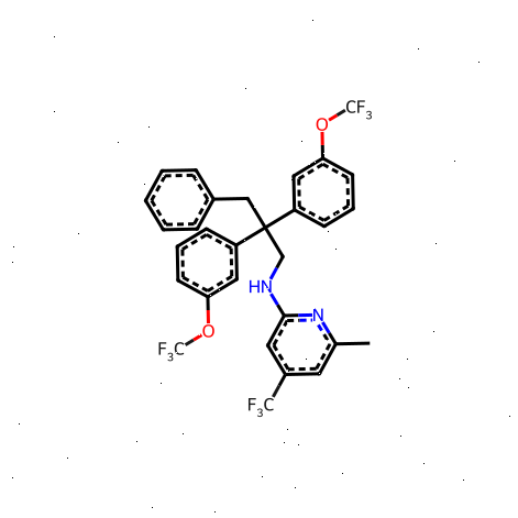 Cc1cc(C(F)(F)F)cc(NCC(Cc2ccccc2)(c2cccc(OC(F)(F)F)c2)c2cccc(OC(F)(F)F)c2)n1